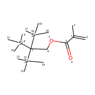 C=C(C)C(=O)OCC([Si](C)(C)C)([Si](C)(C)C)[Si](C)(C)C